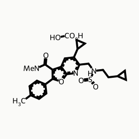 CNC(=O)c1c(-c2ccc(C)cc2)oc2nc(CN(CCC3CC3)[SH](=O)=O)c(C3CC3)cc12.O=C(O)O